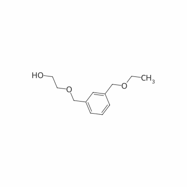 CCOCc1cccc(COCCO)c1